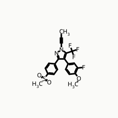 CC#Cn1nc(-c2ccc(S(C)(=O)=O)cc2)c(-c2ccc(OC)c(F)c2)c1C(F)(F)F